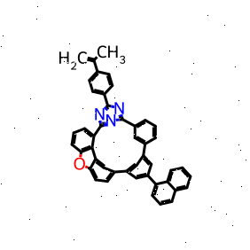 C=C(C)c1ccc(-c2nc3nc(n2)c2cccc4oc5ccc(cc5c42)c2cc(-c4cccc5ccccc45)cc(c2)c2cccc3c2)cc1